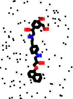 OCc1cc(C(O)CNCCc2ccc(NCC(O)COc3cccc4ccccc34)cc2)ccc1O